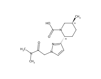 C[C@H]1CC[C@H](c2ccn(CC(=O)N(C)C)n2)N(C(=O)O)C1